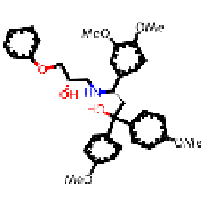 COc1ccc(C(O)(C[C@H](NC[C@H](O)COc2ccccc2)c2ccc(OC)c(OC)c2)c2ccc(OC)cc2)cc1